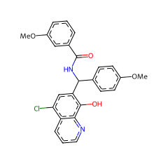 COc1ccc(C(NC(=O)c2cccc(OC)c2)c2cc(Cl)c3cccnc3c2O)cc1